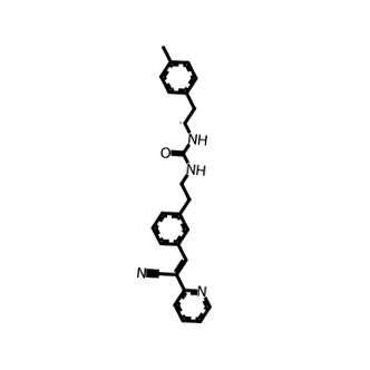 Cc1ccc(C[CH]NC(=O)NCCc2cccc(C=C(C#N)c3ccccn3)c2)cc1